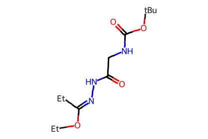 CCO/C(CC)=N/NC(=O)CNC(=O)OC(C)(C)C